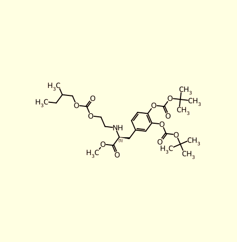 CCC(C)COC(=O)OCCN[C@@H](Cc1ccc(OC(=O)OC(C)(C)C)c(OC(=O)OC(C)(C)C)c1)C(=O)OC